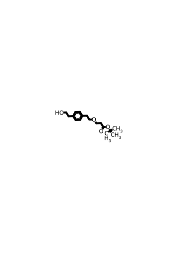 CC(C)(C)OC(=O)CCOCCc1ccc(CCO)cc1